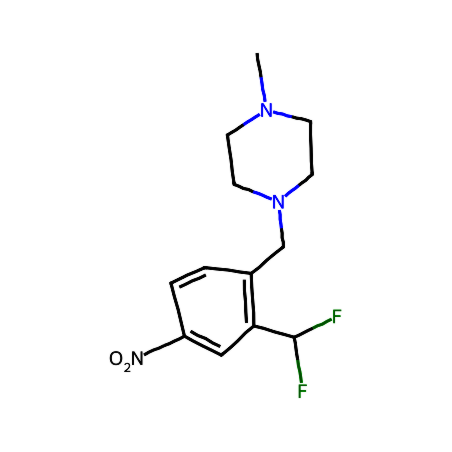 CN1CCN(Cc2ccc([N+](=O)[O-])cc2C(F)F)CC1